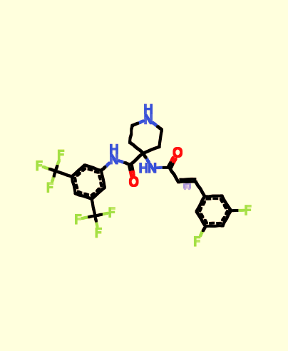 O=C(/C=C/c1cc(F)cc(F)c1)NC1(C(=O)Nc2cc(C(F)(F)F)cc(C(F)(F)F)c2)CCNCC1